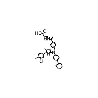 C=C(NCCC(=O)O)c1ccc(CN(c2ccc(C3=CCCCC3)cc2)c2nc(-c3ccc(C)c(Cl)c3)c(C)s2)cc1